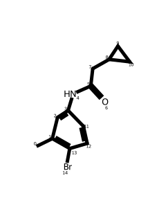 Cc1cc(NC(=O)CC2CC2)ccc1Br